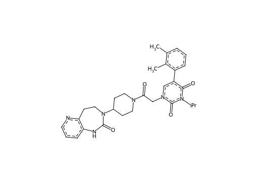 Cc1cccc(-c2cn(CC(=O)N3CCC(N4CCc5ncccc5NC4=O)CC3)c(=O)n(C(C)C)c2=O)c1C